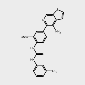 COc1cc(-c2ncc3sccc3c2N)ccc1NC(=O)Nc1cccc(C(F)(F)F)c1